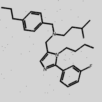 CCCCn1c(CN(CCC(C)C)Cc2ccc(CCC)cc2)cnc1-c1cccc(F)c1